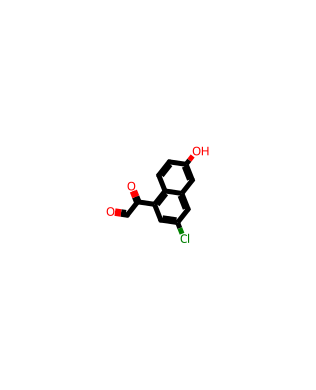 O=CC(=O)c1cc(Cl)cc2cc(O)ccc12